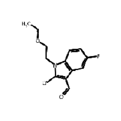 CCOCCn1c(Cl)c(C=O)c2cc(F)ccc21